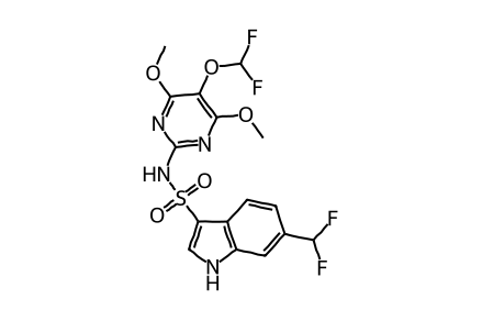 COc1nc(NS(=O)(=O)c2c[nH]c3cc(C(F)F)ccc23)nc(OC)c1OC(F)F